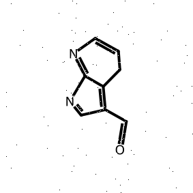 O=CC1=C2CC=CN=C2N=C1